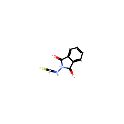 O=C1c2ccccc2C(=O)N1N=C=S